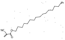 C=C(C#N)C(=O)OCCCCCCCCCCCCCCCC(C)C